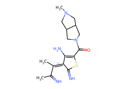 CC(=N)/C(C)=C1\C(=N)SC(C(=O)N2CC3CN(C)CC3C2)=C1N